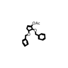 CC(=O)OC1=CCC(OCc2ccccc2)C1OCc1ccccc1